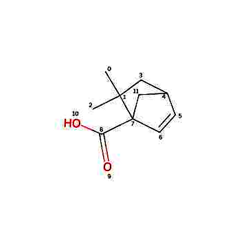 CC1(C)CC2C=CC1(C(=O)O)C2